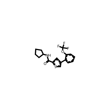 O=C(NC1CCCC1)c1cc(-c2ccccc2OC(F)(F)F)cs1